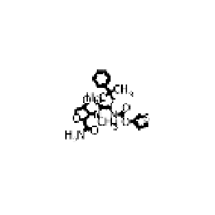 CN(C(=O)[C@H](CC(C)(C)c1ccccc1)NC(=O)Oc1ccsc1)C1C(=O)COC1C(N)=O